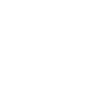 CSCOC(=O)C1C(C=O)C1(C)C